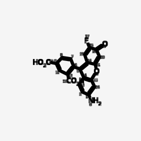 Nc1ccc2c(-c3ccc(C(=O)O)cc3C(=O)O)c3cc(F)c(=O)cc-3oc2c1